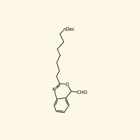 CCCCCCCCCCCCCCCCCC1=Nc2ccccc2C(C=O)O1